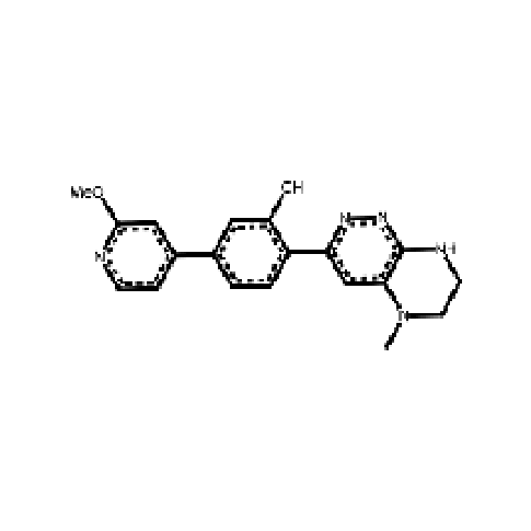 COc1cc(-c2ccc(-c3cc4c(nn3)NCCN4C)c(O)c2)ccn1